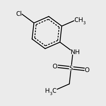 CCS(=O)(=O)Nc1ccc(Cl)cc1C